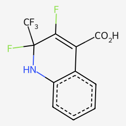 O=C(O)C1=C(F)C(F)(C(F)(F)F)Nc2ccccc21